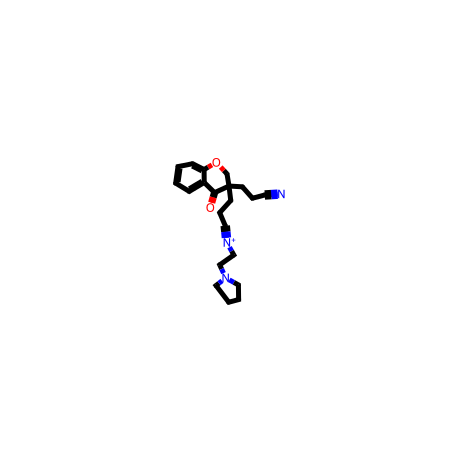 N#CCCC1(CCC#[N+]CCN2CCCC2)COc2ccccc2C1=O